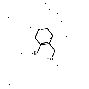 OCC1=C(Br)CCCC1